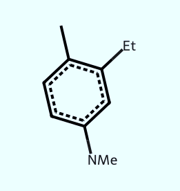 CCc1cc(NC)ccc1C